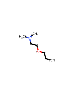 CN(C)CCOCCC#N